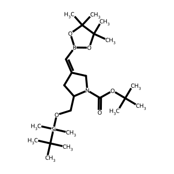 CC(C)(C)OC(=O)N1CC(=CB2OC(C)(C)C(C)(C)O2)CC1CO[Si](C)(C)C(C)(C)C